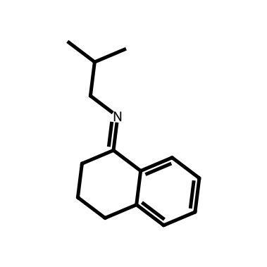 CC(C)CN=C1CCCc2ccccc21